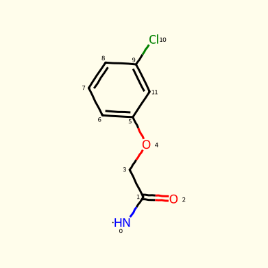 [NH]C(=O)COc1cccc(Cl)c1